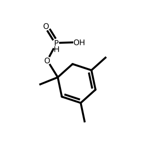 CC1=CC(C)(O[PH](=O)O)CC(C)=C1